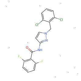 O=C(Nc1ccn(Cc2c(Cl)cccc2Cl)n1)c1c(F)cccc1F